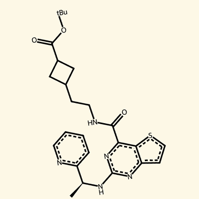 C[C@H](Nc1nc(C(=O)NCCC2CC(C(=O)OC(C)(C)C)C2)c2sccc2n1)c1ccccn1